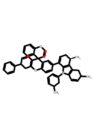 CC1C=CC=C(n2c3c(c4c2C(c2ccc5c(c2)C2(C6=C(CC(c7ccccc7)C=C6)O5)c5ccccc5Oc5ccccc52)=CC[C@H]4C)CC(C)C=C3)C1